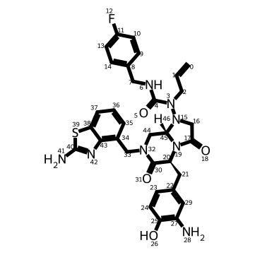 C=CCN(C(=O)NCc1ccc(F)cc1)N1CC(=O)N2[C@@H](Cc3ccc(O)c(N)c3)C(=O)N(Cc3cccc4sc(N)nc34)C[C@@H]21